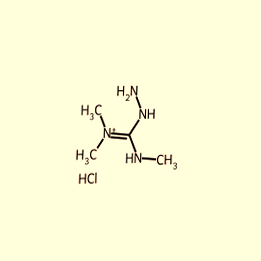 CNC(NN)=[N+](C)C.Cl